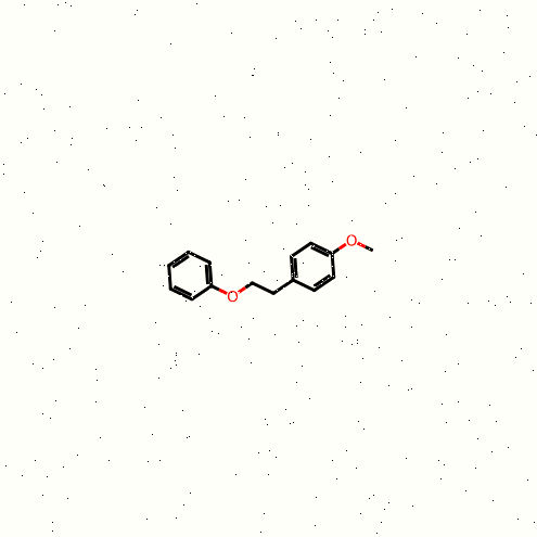 COc1ccc(CCOc2cc[c]cc2)cc1